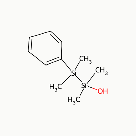 C[Si](C)(O)[Si](C)(C)c1ccccc1